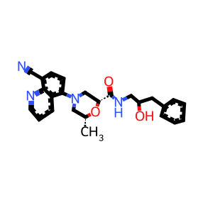 C[C@@H]1CN(c2ccc(C#N)c3ncccc23)C[C@H](C(=O)NCC(O)Cc2ccccc2)O1